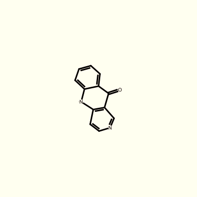 O=C1c2ccccc2[N]c2ccncc21